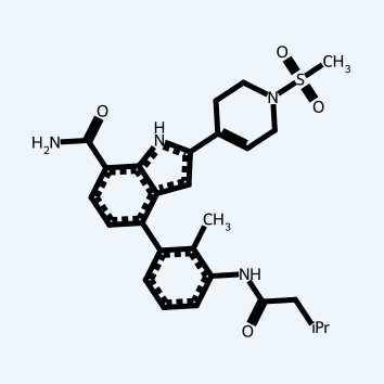 Cc1c(NC(=O)CC(C)C)cccc1-c1ccc(C(N)=O)c2[nH]c(C3=CCN(S(C)(=O)=O)CC3)cc12